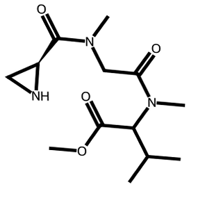 COC(=O)C(C(C)C)N(C)C(=O)CN(C)C(=O)[C@@H]1CN1